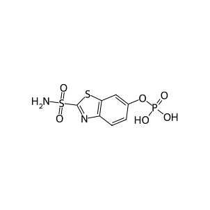 NS(=O)(=O)c1nc2ccc(OP(=O)(O)O)cc2s1